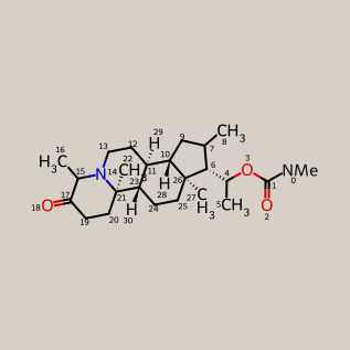 CNC(=O)OC(C)[C@H]1C(C)C[C@H]2[C@@H]3CCN4C(C)C(=O)CC[C@]4(C)[C@H]3CC[C@]12C